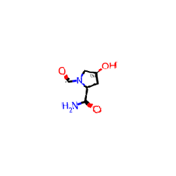 NC(=O)C1C[C@H](O)CN1[C]=O